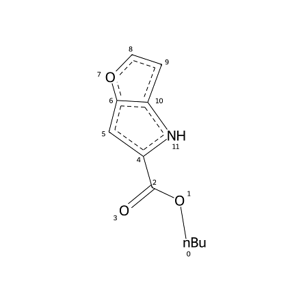 CCCCOC(=O)c1cc2occc2[nH]1